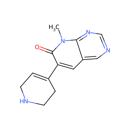 Cn1c(=O)c(C2=CCNCC2)cc2cncnc21